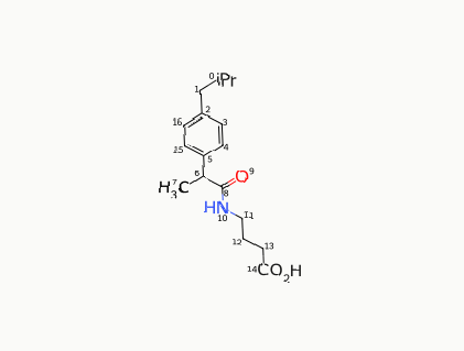 CC(C)Cc1ccc(C(C)C(=O)NCCCC(=O)O)cc1